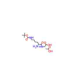 CC(C)(C)OC(=O)NCCCC[C@H](N)C(=O)N[C@@H](CC(=O)O)C(=O)O